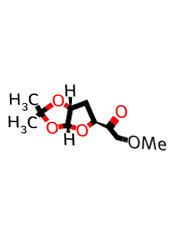 COCC(=O)[C@@H]1C[C@H]2OC(C)(C)O[C@H]2O1